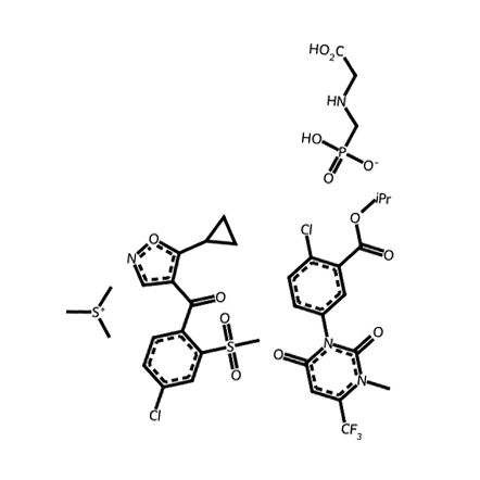 CC(C)OC(=O)c1cc(-n2c(=O)cc(C(F)(F)F)n(C)c2=O)ccc1Cl.CS(=O)(=O)c1cc(Cl)ccc1C(=O)c1cnoc1C1CC1.C[S+](C)C.O=C(O)CNCP(=O)([O-])O